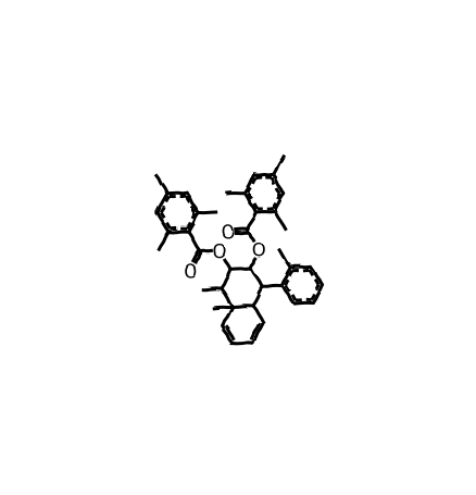 Cc1cc(C)c(C(=O)OC2C(OC(=O)c3c(C)cc(C)cc3C)C(C)C3(C)C=CC=CC3C2c2ccccc2C)c(C)c1